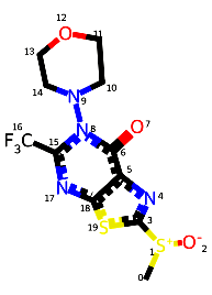 C[S+]([O-])c1nc2c(=O)n(N3CCOCC3)c(C(F)(F)F)nc2s1